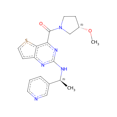 CO[C@H]1CCN(C(=O)c2nc(N[C@@H](C)c3cccnc3)nc3ccsc23)C1